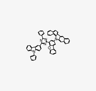 c1ccc(-c2nc(-c3ccc4c(c3)c3ccccc3n4-c3ccccc3)nc(-c3cc(-n4c5cc6ccccc6cc5c5ccc6ccccc6c54)cc4c3oc3ccccc34)n2)cc1